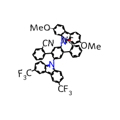 COc1ccc2c3ccc(OC)cc3n(-c3cc(-c4ccccc4C#N)c(-n4c5ccc(C(F)(F)F)cc5c5cc(C(F)(F)F)ccc54)cc3-c3ccccc3C#N)c2c1